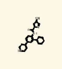 N#CC1C=NC(C(=O)Nc2ccc(C3CCNCC3)cc2C2=CCCCC2)=C1